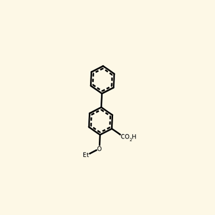 CCOc1ccc(-c2ccccc2)cc1C(=O)O